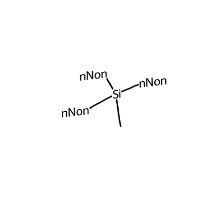 CCCCCCCCC[Si](C)(CCCCCCCCC)CCCCCCCCC